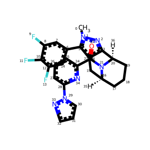 Cn1nc2c(c1-c1cc(F)c(F)c(F)c1)C[C@@H]1CCC[C@H]2N1C(=O)c1cccc(-n2cccn2)n1